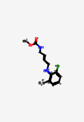 CC(C)(C)OC(=O)NCC=CCNc1c(Br)cccc1[N+](=O)[O-]